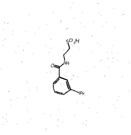 CC(C)c1cccc(C(=O)NCCS(=O)(=O)O)c1